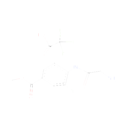 COC(=O)c1ccc(NC(=O)CN)c(Cl)c1.O=C(O)C(F)(F)F